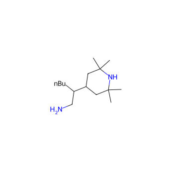 CCCCC(CN)C1CC(C)(C)NC(C)(C)C1